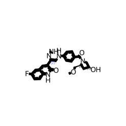 COC[C@@H]1C[C@@H](O)CN1C(=O)c1ccc(N/C=C(\N=N)c2cc3cc(F)ccc3[nH]c2=O)cc1